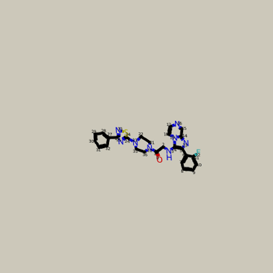 O=C(CNc1c(-c2ccccc2F)nc2cnccn12)N1CCN(c2nc(-c3ccccc3)ns2)CC1